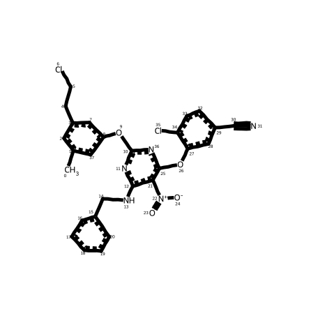 Cc1cc(CCCl)cc(Oc2nc(NCc3ccccc3)c([N+](=O)[O-])c(Oc3cc(C#N)ccc3Cl)n2)c1